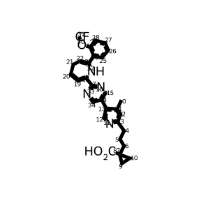 Cc1cc(CCCC2(C(=O)O)CC2)ncc1-c1cnc(C2=C=CCC=C(c3ccccc3OC(F)(F)F)N2)nc1